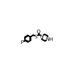 O=C(SCc1ccc(F)cc1)N1CCNCC1